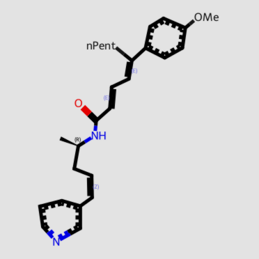 CCCCC/C(=C\C=C\C(=O)N[C@H](C)C/C=C\c1cccnc1)c1ccc(OC)cc1